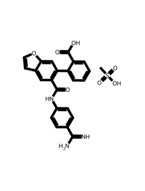 CS(=O)(=O)O.N=C(N)c1ccc(NC(=O)c2cc3ccoc3cc2-c2ccccc2C(=O)O)cc1